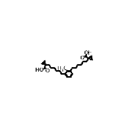 Cc1c(CCCCCCC2(C(=O)O)CC2)cccc1CCCCCCC1(C(=O)O)CC1